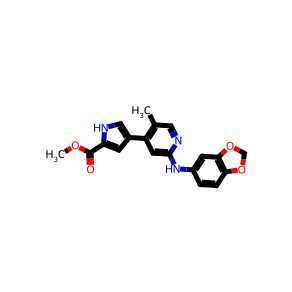 COC(=O)c1cc(-c2cc(Nc3ccc4c(c3)OCO4)ncc2C)c[nH]1